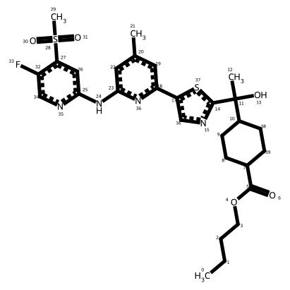 CCCCOC(=O)C1CCC(C(C)(O)c2ncc(-c3cc(C)cc(Nc4cc(S(C)(=O)=O)c(F)cn4)n3)s2)CC1